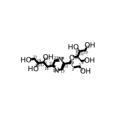 OCC[C@@H](O[C@H](CO)[C@@H](O)CO)c1cnc(C[C@H](O)[C@H](O)CO)cn1